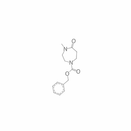 CN1CCN(C(=O)OCc2ccccc2)CCC1=O